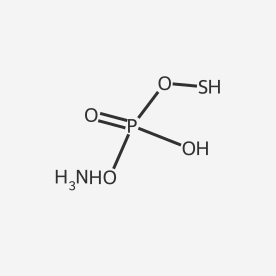 N.O=P(O)(O)OS